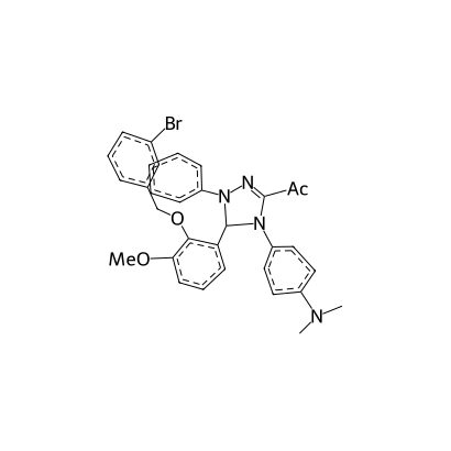 COc1cccc(C2N(c3ccccc3)N=C(C(C)=O)N2c2ccc(N(C)C)cc2)c1OCc1cccc(Br)c1